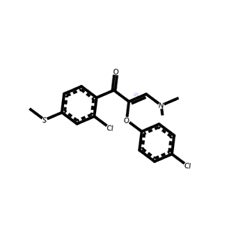 CSc1ccc(C(=O)/C(=C/N(C)C)Oc2ccc(Cl)cc2)c(Cl)c1